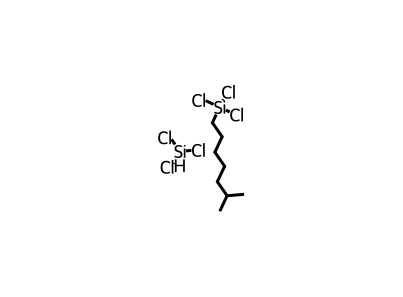 CC(C)CCCCC[Si](Cl)(Cl)Cl.Cl[SiH](Cl)Cl